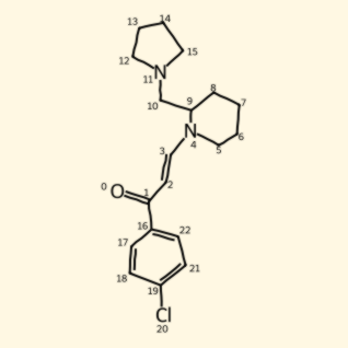 O=C(/C=C/N1CCCCC1CN1CCCC1)c1ccc(Cl)cc1